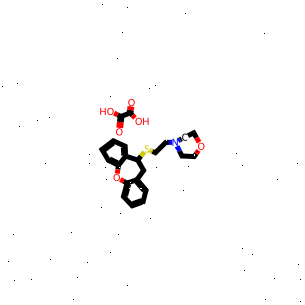 O=C(O)C(=O)O.c1ccc2c(c1)CC(SCCN1CCOCC1)c1ccccc1O2